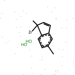 Cc1ccc2c(c1)C=C[C]2(C)[Zr].Cl.Cl